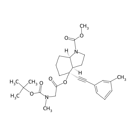 COC(=O)N1CC[C@@H]2[C@H]1CCC[C@]2(C#Cc1cccc(C)c1)OC(=O)CN(C)C(=O)OC(C)(C)C